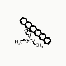 CCO[SiH](OCC)OCC.c1ccc2cc3cc4cc5cc6ccccc6cc5cc4cc3cc2c1